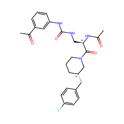 CC(=O)N[C@H](CNC(=O)Nc1cccc(C(C)=O)c1)C(=O)N1CCC[C@@H](Cc2ccc(F)cc2)C1